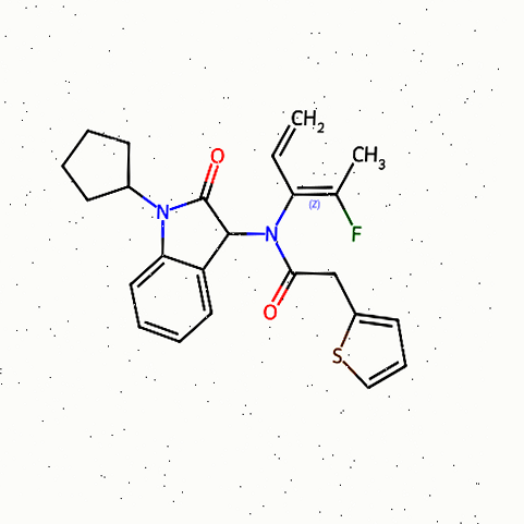 C=C/C(=C(\C)F)N(C(=O)Cc1cccs1)C1C(=O)N(C2CCCC2)c2ccccc21